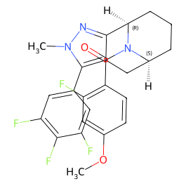 COc1ccc(C(=O)N2[C@H]3CCC[C@@H]2c2nn(C)c(-c4cc(F)c(F)c(F)c4)c2C3)c(F)c1